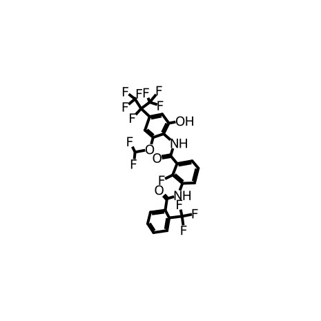 O=C(Nc1cccc(C(=O)Nc2c(O)cc(C(F)(C(F)(F)F)C(F)(F)F)cc2OC(F)F)c1F)c1ccccc1C(F)(F)F